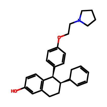 Oc1ccc2c(c1)CC[C@H](C1C=CC=CC1)[C@@H]2c1ccc(OCCN2CCCC2)cc1